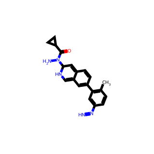 Cc1ccc(N=N)cc1-c1ccc2c(c1)=CNC(N(N)C(=O)C1CC1)C=2